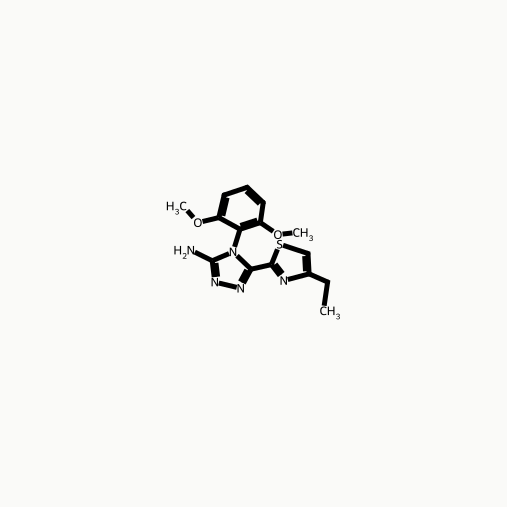 CCc1csc(-c2nnc(N)n2-c2c(OC)cccc2OC)n1